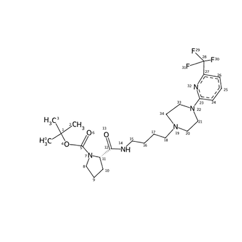 CC(C)(C)OC(=O)N1CCC[C@H]1C(=O)NCCCCN1CCN(c2cccc(C(F)(F)F)n2)CC1